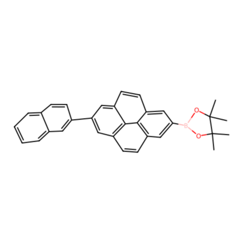 CC1(C)OB(c2cc3ccc4cc(-c5ccc6ccccc6c5)cc5ccc(c2)c3c45)OC1(C)C